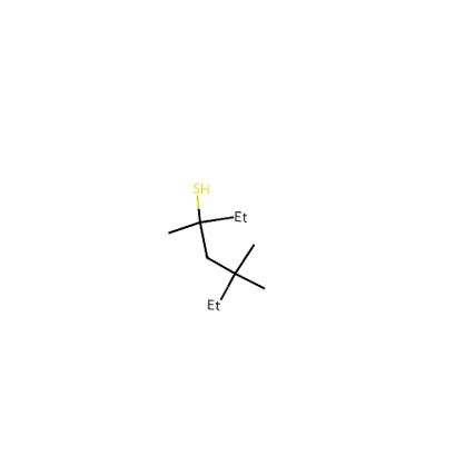 CCC(C)(C)CC(C)(S)CC